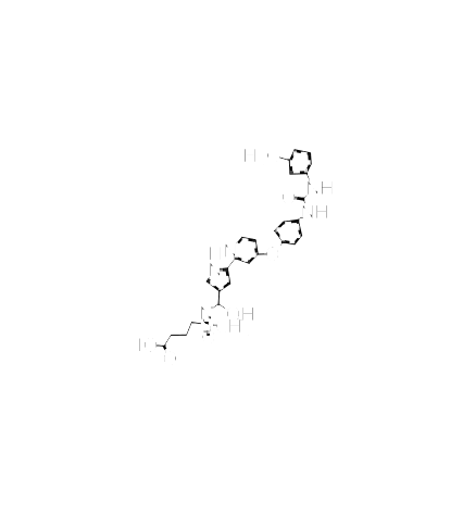 Cc1cccc(NC(=O)Nc2ccc(Oc3ccnc(-c4cc(C(O)N=S(C)(=O)CCCC(=O)O)c[nH]4)c3)cc2)c1